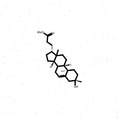 COC(=O)CC[C@H]1CC[C@H]2C3CC=C4C[C@@](C)(O)CC[C@]4(C)[C@H]3CCC12C